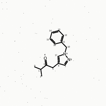 CC(C)C(=O)Cc1cnn(Cc2ccccc2)c1